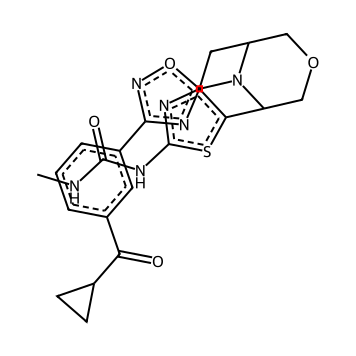 CNC(=O)Nc1nc2c(s1)C1COCC(C2)N1c1nc(-c2cccc(C(=O)C3CC3)c2)no1